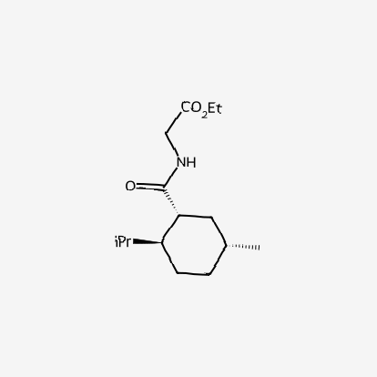 CCOC(=O)CNC(=O)[C@@H]1C[C@H](C)CC[C@H]1C(C)C